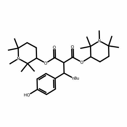 CCCCC(c1ccc(O)cc1)C(C(=O)OC1CCC(C)(C)N(C)C1(C)C)C(=O)OC1CCC(C)(C)N(C)C1(C)C